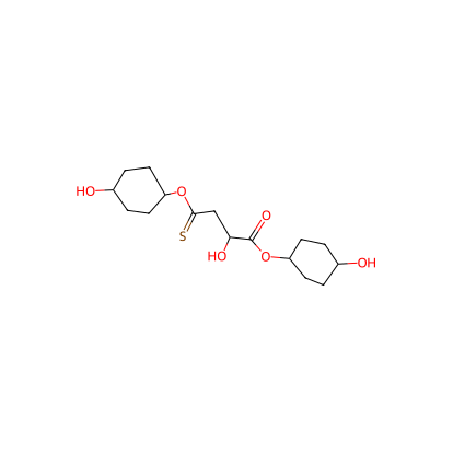 O=C(OC1CCC(O)CC1)C(O)CC(=S)OC1CCC(O)CC1